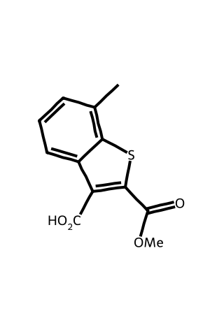 COC(=O)c1sc2c(C)cccc2c1C(=O)O